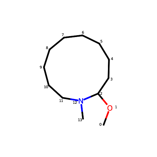 COC1CCCCCCCCCN1C